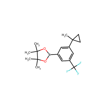 CC1(c2cc(B3OC(C)(C)C(C)(C)O3)cc(C(F)(F)F)c2)CC1